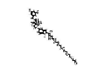 O=CCOCCOCCOCCOCCOCCNC(=O)c1cc2cc(N3CCC(O)(C(=O)NCc4cc(F)cc(F)c4)C3=O)ccc2[nH]1